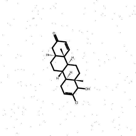 C[C@]12C=CC(=O)C[C@@H]1CC[C@@H]1[C@@H]2CC[C@]2(C)C(O)C(Cl)=CC[C@@H]12